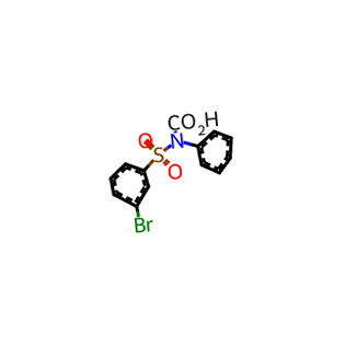 O=C(O)N(c1ccccc1)S(=O)(=O)c1cccc(Br)c1